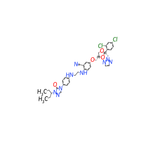 CCC(CC)n1ncn(-c2ccc(NCCNc3ccc(OC[C@@H]4CO[C@@](Cn5nccn5)(c5ccc(Cl)cc5Cl)O4)cc3C#N)cc2)c1=O